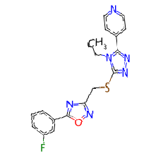 CCn1c(SCc2noc(-c3cccc(F)c3)n2)nnc1-c1ccncc1